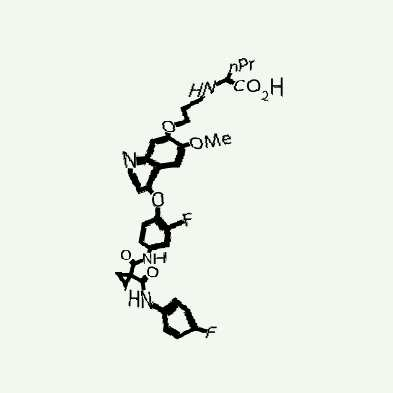 CCCC(NCCCOc1cc2nccc(Oc3ccc(NC(=O)C4(C(=O)Nc5ccc(F)cc5)CC4)cc3F)c2cc1OC)C(=O)O